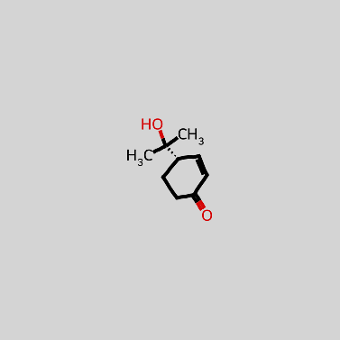 CC(C)(O)[C@@H]1C=CC(=O)CC1